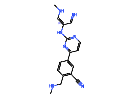 CN/C=C(\C=N)Nc1nccc(-c2ccc(CNC)c(C#N)c2)n1